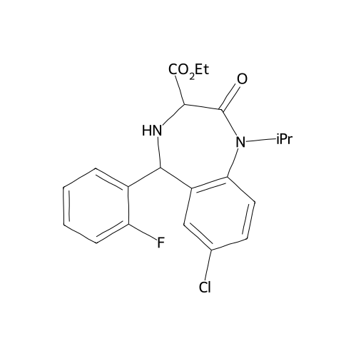 CCOC(=O)C1NC(c2ccccc2F)c2cc(Cl)ccc2N(C(C)C)C1=O